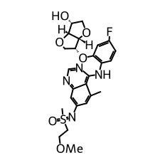 COCCS(C)(=O)=Nc1cc(C)c2c(Nc3ccc(F)cc3O[C@@H]3CO[C@H]4[C@@H]3OC[C@H]4O)ncnc2c1